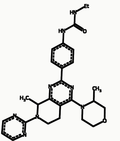 CCNC(=O)Nc1ccc(-c2nc3c(c(N4CCOCC4C)n2)CCN(c2ncccn2)C3C)cc1